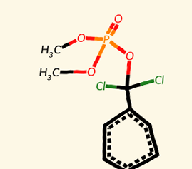 COP(=O)(OC)OC(Cl)(Cl)c1ccccc1